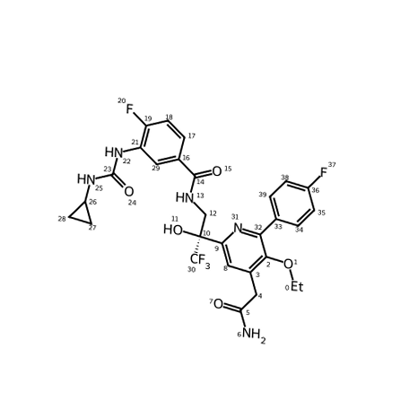 CCOc1c(CC(N)=O)cc([C@@](O)(CNC(=O)c2ccc(F)c(NC(=O)NC3CC3)c2)C(F)(F)F)nc1-c1ccc(F)cc1